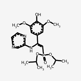 COc1cc(/C(=C/P(=O)(OC(C)C)OC(C)C)Nc2cnccn2)cc(OC)c1O